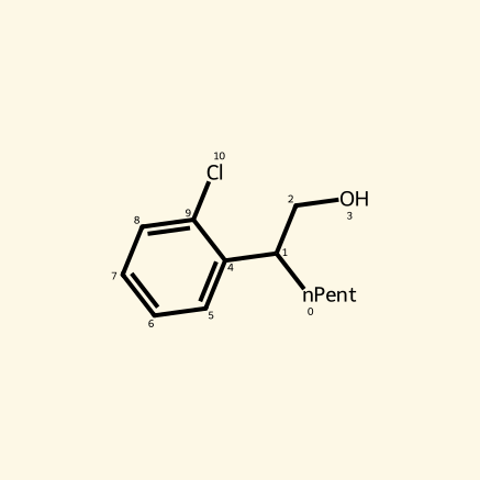 CCCCCC(CO)c1ccccc1Cl